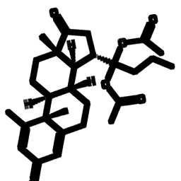 CCCC(OC(C)=O)(OC(C)=O)[C@H]1CC(=O)[C@@]2(C)CC[C@H]3[C@@H](CCC4=CC(=O)C=C(C)[C@@]43C)[C@H]12